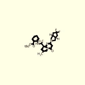 Cc1cc(C(C)Nc2ccccc2C(=O)OC(C)(C)C)c2nc(N3C[C@@H]4CC(F)(F)C[C@@H]4C3)cc(=O)n2c1